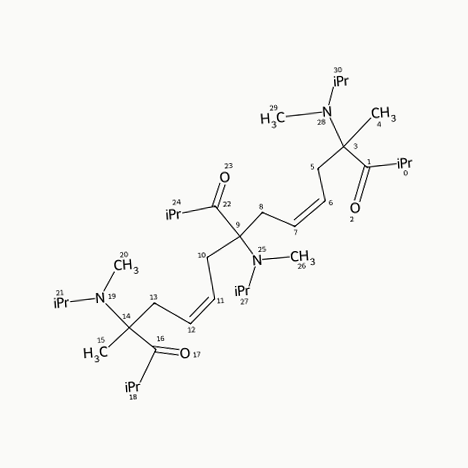 CC(C)C(=O)C(C)(C/C=C\CC(C/C=C\CC(C)(C(=O)C(C)C)N(C)C(C)C)(C(=O)C(C)C)N(C)C(C)C)N(C)C(C)C